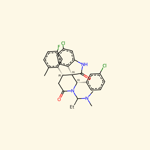 CCC(N(C)C)N1C(=O)C[C@H](c2cc(F)ccc2C)[C@@]2(C(=O)Nc3cc(Cl)ccc32)[C@@H]1c1cccc(Cl)c1